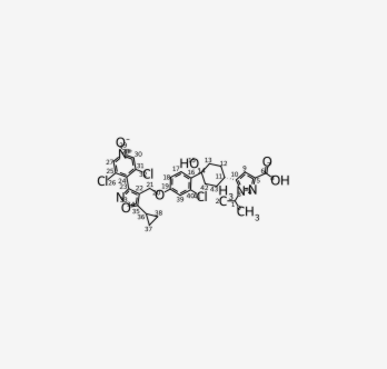 CC(C)n1nc(C(=O)O)cc1[C@H]1CC[C@](O)(c2ccc(OCc3c(-c4c(Cl)c[n+]([O-])cc4Cl)noc3C3CC3)cc2Cl)CC1